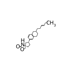 CC/C=C/CCC1CCc2cc([C@H]3CC[C@]4(COC(=O)N4)C3)ccc2C1